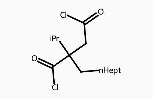 CCCCCCCCC(CC(=O)Cl)(C(=O)Cl)C(C)C